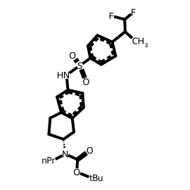 CCCN(C(=O)OC(C)(C)C)[C@@H]1CCc2cc(NS(=O)(=O)c3ccc(C(C)C(F)F)cc3)ccc2C1